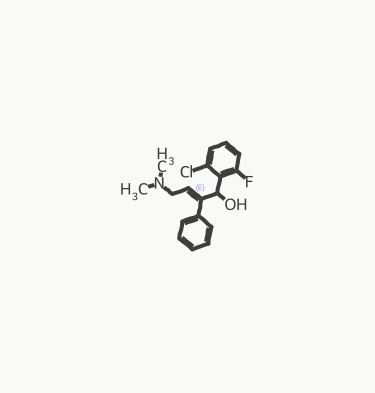 CN(C)C/C=C(\c1ccccc1)C(O)c1c(F)cccc1Cl